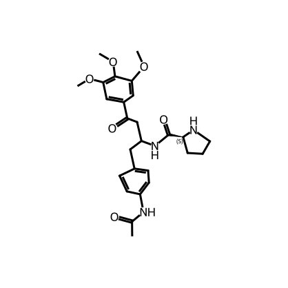 COc1cc(C(=O)CC(Cc2ccc(NC(C)=O)cc2)NC(=O)[C@@H]2CCCN2)cc(OC)c1OC